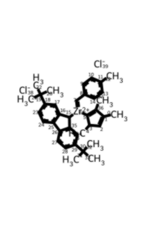 CC1=CC(C)[C](/[Zr+2](=[CH]\c2ccc(C)cc2)[CH]2c3cc(C(C)(C)C)ccc3-c3ccc(C(C)(C)C)cc32)=C1C.[Cl-].[Cl-]